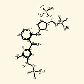 CC(C)[Si](O[C@H]1C[C@H](Nc2ncncc2C(=O)c2cc([C@@H](C)O[Si](C)(C)C(C)(C)C)c(Cl)s2)C[C@@H]1CO[Si](C)(C)C(C)(C)C)(C(C)C)C(C)C